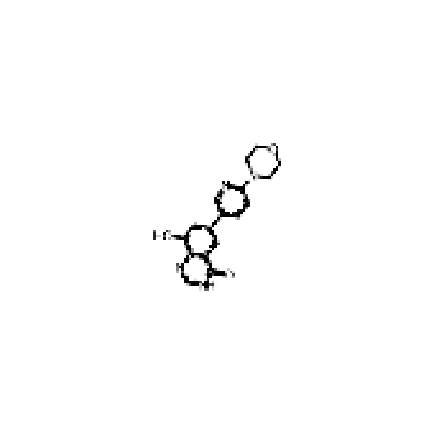 O=c1[nH]cnc2c(O)cc(-c3ccc(N4CCOCC4)nc3)cc12